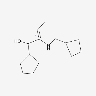 C/C=C(\NCC1CCC1)C(O)C1CCCC1